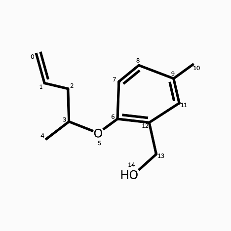 C=CCC(C)Oc1ccc(C)cc1CO